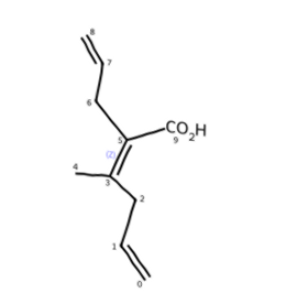 C=CC/C(C)=C(/CC=C)C(=O)O